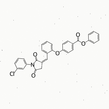 O=C(Oc1ccccc1)c1ccc(Oc2ccccc2/C=C2/CC(=O)N(c3cccc(Cl)c3)C2=O)cc1